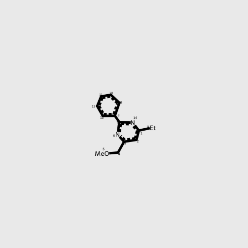 CCc1cc(COC)nc(-c2ccccc2)n1